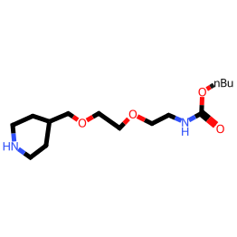 CCCCOC(=O)NCCOCCOCC1CCNCC1